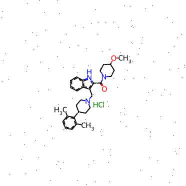 COC1CCN(C(=O)c2[nH]c3ccccc3c2CN2CCC(c3c(C)cccc3C)CC2)CC1.Cl